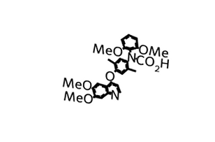 COc1cc2nccc(Oc3cc(C)c(N(C(=O)O)c4c(OC)cccc4OC)cc3C)c2cc1OC